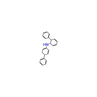 C1=CC(NC2=CCC(c3ccccc3)C=C2)C(c2ccccc2)C=C1